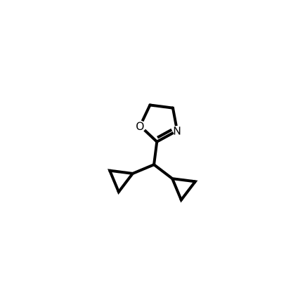 C1COC(C(C2CC2)C2CC2)=N1